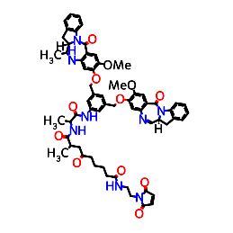 COc1cc2c(cc1OCc1cc(COc3cc4c(cc3OC)C(=O)N3c5ccccc5C[C@H]3C(C)N4)cc(NC(=O)C(C)NC(=O)C(C)CC(=O)CCCCC(=O)NCCN3C(=O)C=CC3=O)c1)N=C[C@@H]1Cc3ccccc3N1C2=O